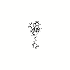 O=C(C[C@@H](/C=C/CCC1CCCCC1)C1CC1)c1cncn1C(c1ccccc1)(c1ccccc1)c1ccccc1